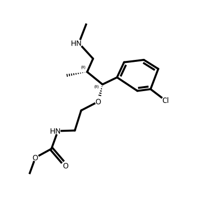 CNC[C@@H](C)[C@@H](OCCNC(=O)OC)c1cccc(Cl)c1